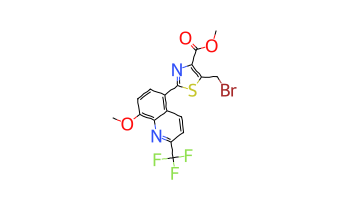 COC(=O)c1nc(-c2ccc(OC)c3nc(C(F)(F)F)ccc23)sc1CBr